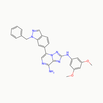 COc1cc(Nc2nc3c(N)ncc(-c4ccc5cnn(Cc6ccccc6)c5c4)n3n2)cc(OC)c1